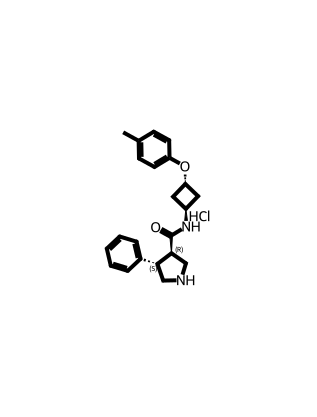 Cc1ccc(O[C@H]2C[C@H](NC(=O)[C@H]3CNC[C@@H]3c3ccccc3)C2)cc1.Cl